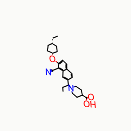 CCC(c1ccc2ccc(O[C@H]3CC[C@@H](CC)CC3)c(C#N)c2c1)N1CCC(C(=O)O)CC1